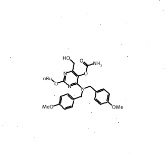 CCCCOc1nc(CO)c(OC(N)=O)c(N(Cc2ccc(OC)cc2)Cc2ccc(OC)cc2)n1